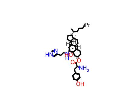 CC(C)CCCC(C)[C@H]1CC[C@H]2[C@@H]3C[C@@H](NCCc4c[nH]cn4)[C@@]4(O)C[C@@H](OC(=O)C(N)Cc5ccc(O)cc5)CC[C@]4(C)[C@H]3CC[C@]12C